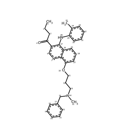 CCCC(=O)c1cnc2c(OCCCN(C)Cc3ccccc3)cccc2c1Nc1ccccc1C